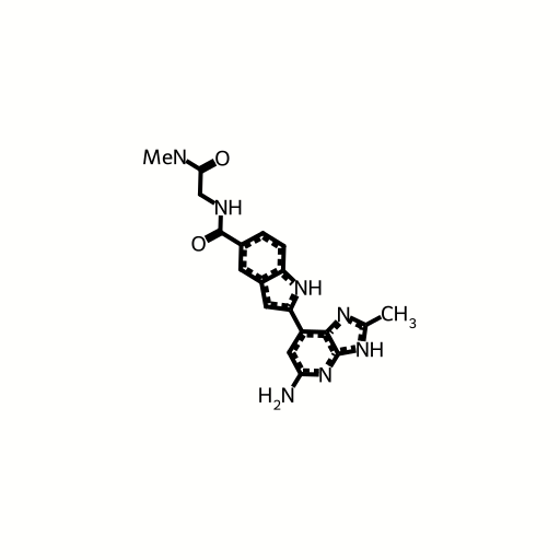 CNC(=O)CNC(=O)c1ccc2[nH]c(-c3cc(N)nc4[nH]c(C)nc34)cc2c1